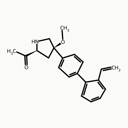 C=Cc1ccccc1-c1ccc([C@@]2(OC)CN[C@H](C(C)=O)C2)cc1